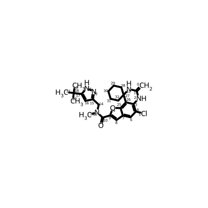 C=C1Nc2c(Cl)cc3cc(C(=O)N(C)Cc4cc(C(C)(C)C)[nH]n4)oc3c2C2(CCCCC2)N1